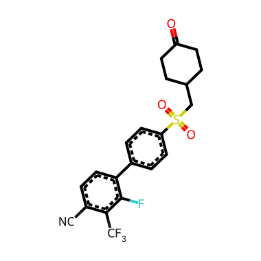 N#Cc1ccc(-c2ccc(S(=O)(=O)CC3CCC(=O)CC3)cc2)c(F)c1C(F)(F)F